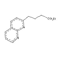 CCOC(=O)CCCc1ccc2cccnc2n1